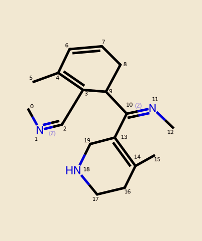 C/N=C\C1=C(C)C=CCC1/C(=N/C)C1=C(C)CCNC1